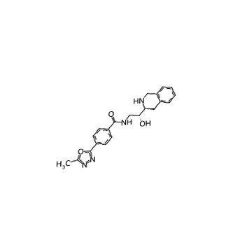 Cc1nnc(-c2ccc(C(=O)NC[C@@H](O)[C@@H]3Cc4ccccc4CN3)cc2)o1